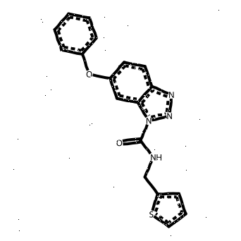 O=C(NCc1cccs1)n1nnc2ccc(Oc3ccccc3)cc21